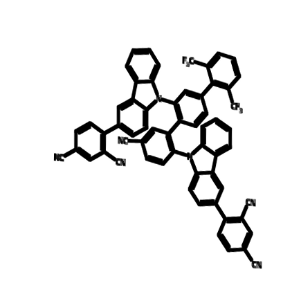 N#Cc1ccc(-c2ccc3c(c2)c2ccccc2n3-c2ccc(C#N)cc2-c2ccc(-c3c(C(F)(F)F)cccc3C(F)(F)F)cc2-n2c3ccccc3c3cc(-c4ccc(C#N)cc4C#N)ccc32)c(C#N)c1